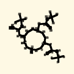 CC(C)(C)OC(=O)CN1CCNCCN(CC(O)OC(C)(C)C)CCN(CC(=O)OC(C)(C)C)CC1